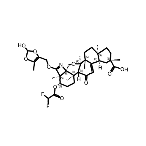 CC1=C(COC2=N[C@@]34CC[C@]5(C)[C@H](C(=O)C=C6[C@@H]7C[C@@](C)(C(=O)O)CC[C@]7(C)CC[C@]65C)[C@@]3(C)CC[C@H](OC(=O)C(F)F)[C@@]24C)OC(O)O1